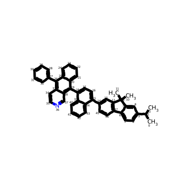 CC(C)c1ccc2c(c1)C(C)(C)c1cc(-c3ccc(-c4c5ccccc5c(-c5ccccc5)c5ccncc45)c4ccccc34)ccc1-2